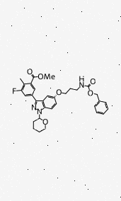 COC(=O)c1cc(-c2nn(C3CCCCO3)c3ccc(OCCCNC(=O)OCc4ccccc4)cc23)cc(F)c1C